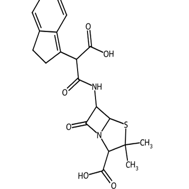 CC1(C)SC2C(NC(=O)C(C(=O)O)C3=C4C=COC=C4CC3)C(=O)N2C1C(=O)O